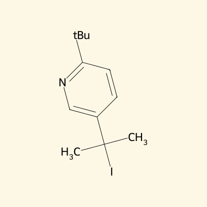 CC(C)(C)c1ccc(C(C)(C)I)cn1